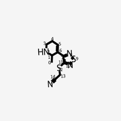 CC1NCCC=C1c1nsnc1SCC#N